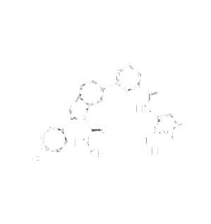 CCn1nccc1NC(=O)c1cccc(-c2ccc3oc(-c4ccc(F)cc4)c(C(=O)NC)c3c2)c1